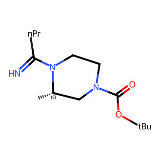 CCCC(=N)N1CCN(C(=O)OC(C)(C)C)C[C@@H]1C